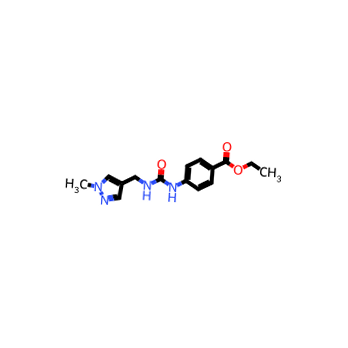 CCOC(=O)c1ccc(NC(=O)NCc2cnn(C)c2)cc1